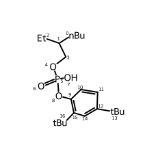 CCCCC(CC)COP(=O)(O)Oc1ccc(C(C)(C)C)cc1C(C)(C)C